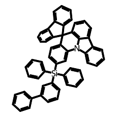 c1ccc(-c2cccc([Si](c3ccccc3)(c3ccccc3)c3ccc4c(c3)-n3c5ccccc5c5cccc(c53)C43c4ccccc4-c4ccccc43)c2)cc1